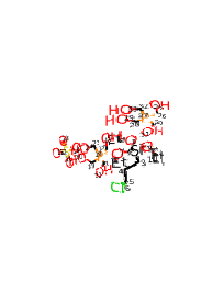 CCO[Si](CCCCl)(OCC)OCC.O=S(=O)([O-])[O-].OC[P+](CO)(CO)CO.OC[P+](CO)(CO)CO